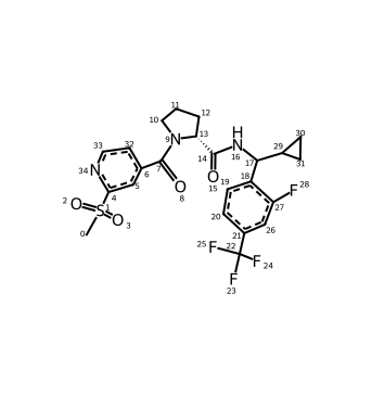 CS(=O)(=O)c1cc(C(=O)N2CCC[C@@H]2C(=O)NC(c2ccc(C(F)(F)F)cc2F)C2CC2)ccn1